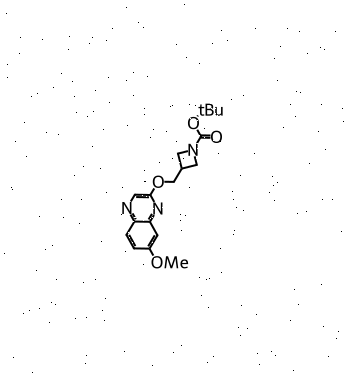 COc1ccc2ncc(OCC3CN(C(=O)OC(C)(C)C)C3)nc2c1